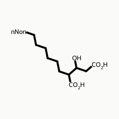 CCCCCCCCCCCCCCCC(C(=O)O)C(O)CC(=O)O